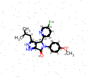 COc1ccc(N2C(=O)c3[nH]nc(CC(C)C)c3C2c2ccc(F)cn2)cc1